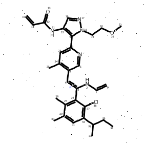 C=CN/C(=C\c1cnc(-c2c(NC(=O)C=C)cnn2CCOC)cc1C)c1c(C)c(C)cc(C(C)CC)c1Cl